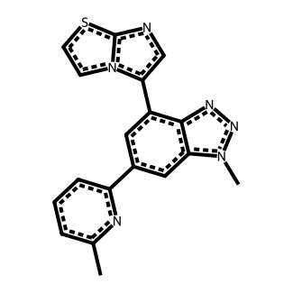 Cc1cccc(-c2cc(-c3cnc4sccn34)c3nnn(C)c3c2)n1